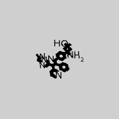 Cc1cc2ncc3c(-c4cccnc4)c(-c4ccccc4)c(-c4ccc(C5(N)CC(C)(O)C5)cc4)nc3n2n1